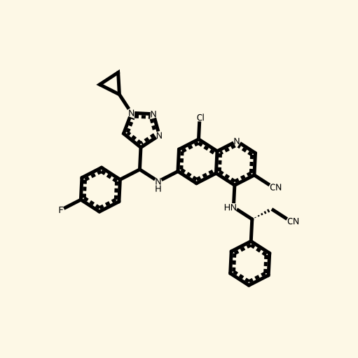 N#CC[C@@H](Nc1c(C#N)cnc2c(Cl)cc(NC(c3ccc(F)cc3)c3cn(C4CC4)nn3)cc12)c1ccccc1